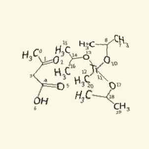 CC(=O)CC(=O)O.CC(C)[O][Ti]([CH3])([O]C(C)C)[O]C(C)C